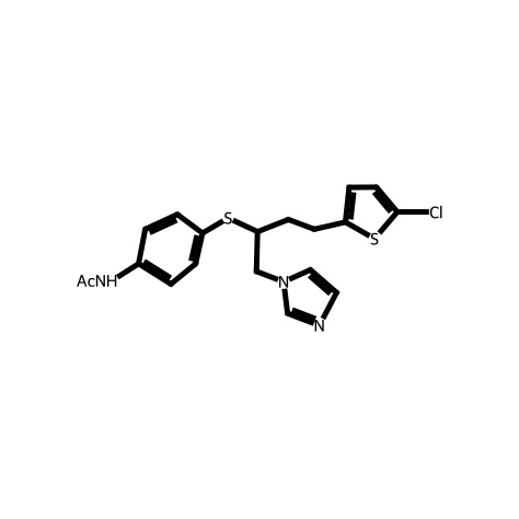 CC(=O)Nc1ccc(SC(CCc2ccc(Cl)s2)Cn2ccnc2)cc1